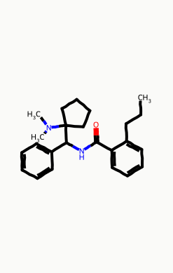 CCCc1ccccc1C(=O)NC(c1ccccc1)C1(N(C)C)CCCC1